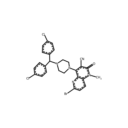 Cn1c(=O)c(C#N)c(N2CCN(C(c3ccc(Cl)cc3)c3ccc(Cl)cc3)CC2)c2nc(Br)ccc21